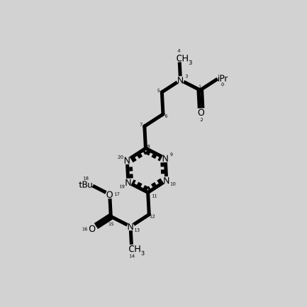 CC(C)C(=O)N(C)CCCc1nnc(CN(C)C(=O)OC(C)(C)C)nn1